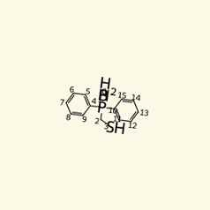 B[PH](CS)(c1ccccc1)c1ccccc1